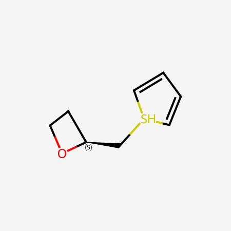 C1=C[SH](C[C@@H]2CCO2)C=C1